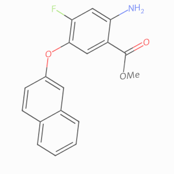 COC(=O)c1cc(Oc2ccc3ccccc3c2)c(F)cc1N